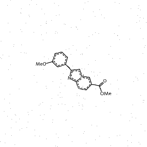 COC(=O)c1ccc2nc(-c3cccc(OC)c3)cn2c1